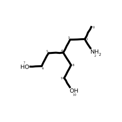 CC(N)CC(CCO)CCO